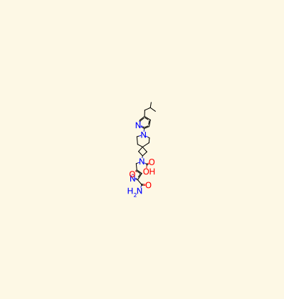 CC(C)Cc1ccc(N2CCC3(CC2)CC(N(Cc2cc(C(N)=O)no2)C(=O)O)C3)nc1